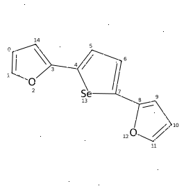 c1coc(-c2ccc(-c3ccco3)[se]2)c1